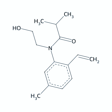 C=Cc1ccc(C)cc1N(CCO)C(=O)C(C)C